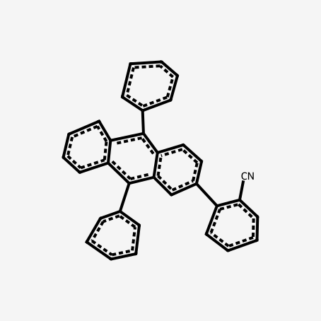 N#Cc1ccccc1-c1ccc2c(-c3ccccc3)c3ccccc3c(-c3ccccc3)c2c1